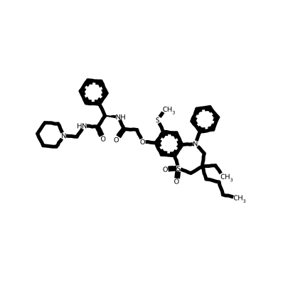 CCCCC1(CC)CN(c2ccccc2)c2cc(SC)c(OCC(=O)N[C@@H](C(=O)NCN3CCCCC3)c3ccccc3)cc2S(=O)(=O)C1